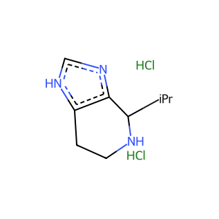 CC(C)C1NCCc2[nH]cnc21.Cl.Cl